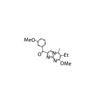 CCc1c(OC)nc2nc(C(=O)c3cccc(OC)c3)cn2c1C